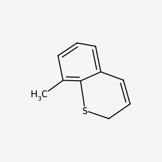 Cc1cccc2c1SCC=C2